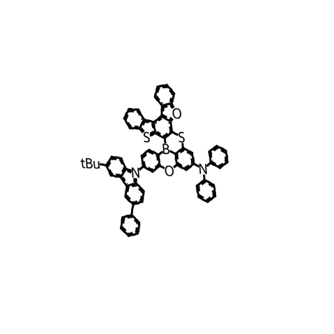 CC(C)(C)c1ccc2c(c1)c1cc(-c3ccccc3)ccc1n2-c1ccc2c(c1)Oc1cc(N(c3ccccc3)c3ccccc3)cc3c1B2c1c(c2oc4ccccc4c2c2c1sc1ccccc12)S3